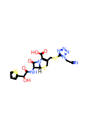 N#CCn1nnnc1SCC1=C(C(=O)O)N2C(=O)C(NC(=O)C(O)c3cccs3)[C@H]2SC1